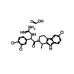 CC1c2[nH]c3ccc(Cl)cc3c2CCN1C(=O)C(NC(=N)N)c1ccc(Cl)c(Cl)c1.O=CO